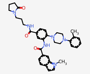 Cc1ccccc1N1CCN(c2ccc(C(=O)NCCCN3CCCC3=O)cc2NC(=O)c2ccc3ccn(C)c3c2)CC1